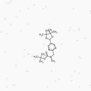 CN(Cc1ncc(C2OC(C)(C)C(C)(C)O2)cn1)C(=O)OC(C)(C)C